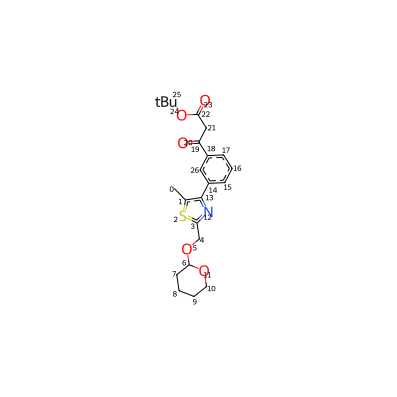 Cc1sc(COC2CCCCO2)nc1-c1cccc(C(=O)CC(=O)OC(C)(C)C)c1